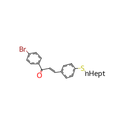 CCCCCCCSc1ccc(C=CC(=O)c2ccc(Br)cc2)cc1